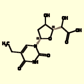 CCc1cn([C@@H]2CC(O)[C@H](C(O)C(=O)O)O2)c(=O)[nH]c1=O